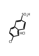 Cl.O=S(=O)(O)c1ccc2cc(Cl)ccc2c1